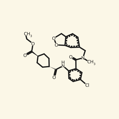 CCOC(=O)[C@H]1CC[C@H](C(=O)Nc2ccc(Cl)cc2C(=O)N(C)Cc2ccc3c(c2)OOC3)CC1